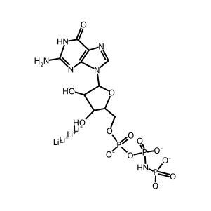 Nc1nc2c(ncn2C2OC(COP(=O)([O-])OP(=O)([O-])NP(=O)([O-])[O-])C(O)C2O)c(=O)[nH]1.[Li+].[Li+].[Li+].[Li+]